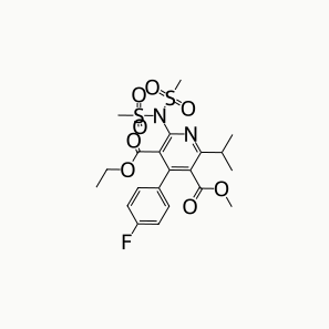 CCOC(=O)c1c(N(S(C)(=O)=O)S(C)(=O)=O)nc(C(C)C)c(C(=O)OC)c1-c1ccc(F)cc1